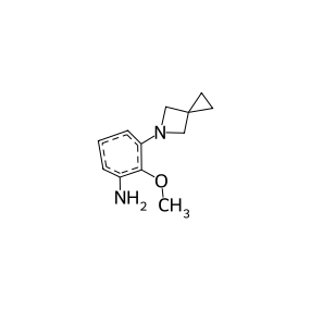 COc1c(N)cccc1N1CC2(CC2)C1